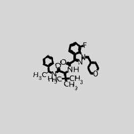 C[C@@H](NC(=O)C(NC(=O)c1nn(CC2CCOCC2)c2c(F)cccc12)C(C)(C)C)c1ccccc1